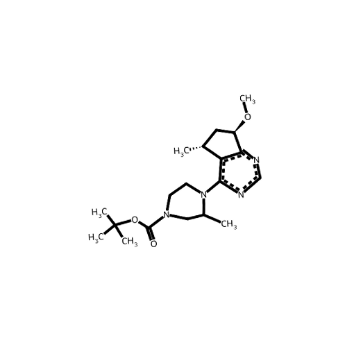 CO[C@@H]1C[C@@H](C)c2c1ncnc2N1CCN(C(=O)OC(C)(C)C)CC1C